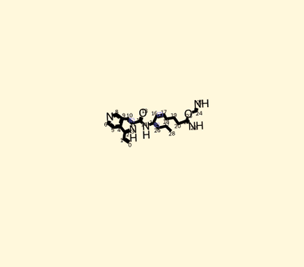 C=CC(=N)c1ccncc1/C=C/C(=O)NC(/C=C\CCCC(=N)OC=N)=C/CC